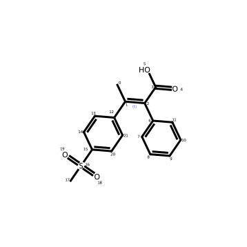 C/C(=C(\C(=O)O)c1ccccc1)c1ccc(S(C)(=O)=O)cc1